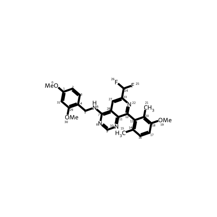 COc1ccc(CNc2ncnc3c(-c4c(C)ccc(OC)c4C)nc(C(F)F)cc23)c(OC)c1